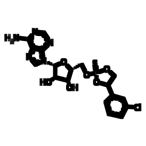 Nc1ncnc2c1ncn2[C@@H]1O[C@H](COP2(=S)OCC(c3cccc(Cl)c3)O2)[C@@H](O)[C@H]1O